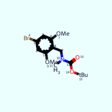 COc1cc(Br)cc(OC)c1CN(C)C(=O)OC(C)(C)C